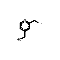 CC(C)(C)Cc1cc(CO)ccn1